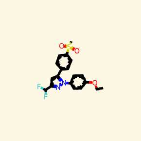 CCOc1ccc(-n2nc(C(F)F)cc2-c2ccc(S(C)(=O)=O)cc2)cc1